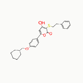 O=c1oc(-c2ccc(OCC3CCCCC3)cc2)cc(O)c1SCCc1ccccc1